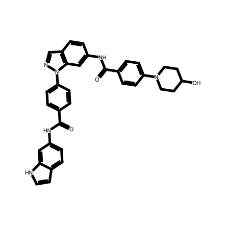 O=C(Nc1ccc2cc[nH]c2c1)c1ccc(-n2ncc3ccc(NC(=O)c4ccc(N5CCC(O)CC5)cc4)cc32)cc1